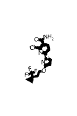 NC(=O)c1ccc(-n2ccc(OCCC3(C(F)(F)F)CC3)n2)nc1Cl